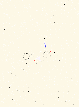 CC1(C)CC2(C=C(C#N)C1=O)CCN(C(=O)Cc1cc(F)cc(Cl)c1)C2